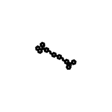 C(=Cc1ccc(N(c2ccccc2)c2cccc3ccccc23)cc1)c1ccc(-c2ccc(C=Cc3ccc4c(c3)c3ccccc3n4-c3ccccc3)cc2)cc1